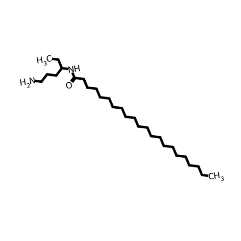 CCCCCCCCCCCCCCCCCCCCCC(=O)NC(CC)CCCN